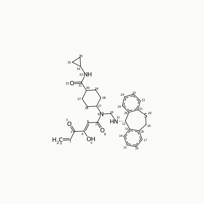 C=CC(=O)/C(O)=C/C(=O)N(CN[C@H]1c2ccccc2CSc2ccccc21)C1CCC(C(=O)NC2CC2)CC1